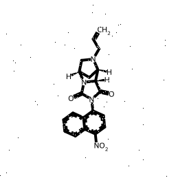 C=CCN1C[C@@H]2C[C@H]1[C@@H]1C(=O)N(c3ccc([N+](=O)[O-])c4ccccc34)C(=O)N21